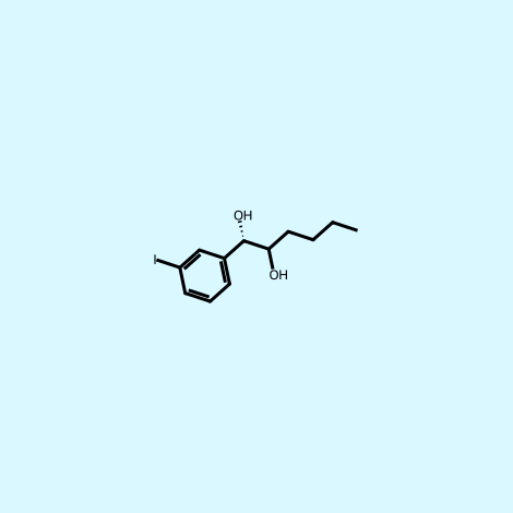 CCCCC(O)[C@@H](O)c1cccc(I)c1